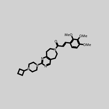 COc1ccc(/C=C/C(=O)N2CCc3cnc(N4CCN(C5CCC5)CC4)nc3CC2)c(OC)c1OC